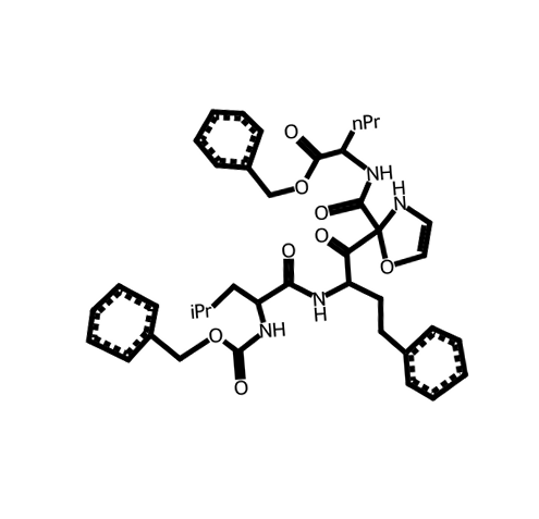 CCCC(NC(=O)C1(C(=O)C(CCc2ccccc2)NC(=O)C(CC(C)C)NC(=O)OCc2ccccc2)NC=CO1)C(=O)OCc1ccccc1